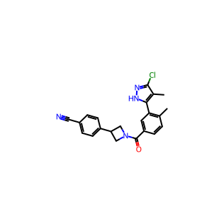 Cc1ccc(C(=O)N2CC(c3ccc(C#N)cc3)C2)cc1-c1[nH]nc(Cl)c1C